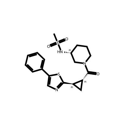 CS(=O)(=O)N[C@@H]1CCCN(C(=O)[C@@H]2C[C@H]2c2ncc(-c3ccccc3)s2)C1